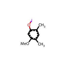 COc1cc(OI)c(C)cc1C